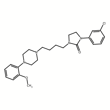 COc1ccccc1N1CCN(CCCCN2CCN(c3cccc(Cl)c3)C2=O)CC1